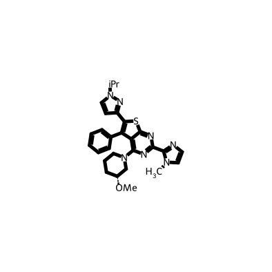 CO[C@@H]1CCCN(c2nc(-c3nccn3C)nc3sc(-c4ccn(C(C)C)n4)c(-c4ccccc4)c23)C1